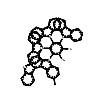 Cc1ccc2c(c1)c1c3c(ccc1n2-c1c(C#N)c(C#N)c(-n2c4ccccc4c4ccccc42)c(-n2c4ccccc4c4ccccc42)c1-n1c2ccccc2c2ccccc21)oc1ccccc13